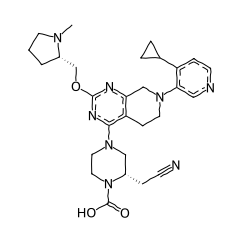 CN1CCC[C@H]1COc1nc2c(c(N3CCN(C(=O)O)[C@@H](CC#N)C3)n1)CCN(c1cnccc1C1CC1)C2